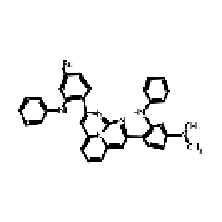 CCC(C)c1ccc(C2=CC3=CC=CC4=CC(c5ccc(N(C)C)cc5Nc5ccccc5)=NC(=N2)N34)c(Nc2ccccc2)c1